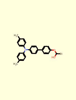 CCC(O)Oc1ccc(-c2ccc(N(c3ccc(C)cc3)c3ccc(C)cc3)cc2)cc1